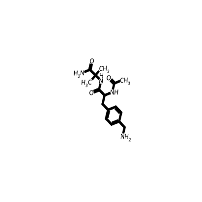 CC(=O)NC(Cc1ccc(CN)cc1)C(=O)NC(C)(C)C(N)=O